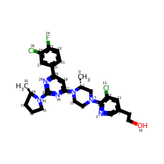 C[C@@H]1CN(c2ncc(CCO)cc2Cl)CCN1c1cc(-c2ccc(F)c(Cl)c2)nc(N2CCC[C@H]2C)n1